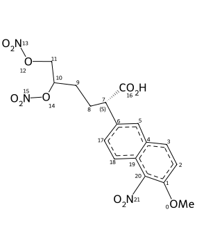 COc1ccc2cc([C@H](CCC(CO[N+](=O)[O-])O[N+](=O)[O-])C(=O)O)ccc2c1[N+](=O)[O-]